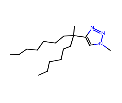 CCCCCCCC(C)(CCCCCC)c1cn(C)nn1